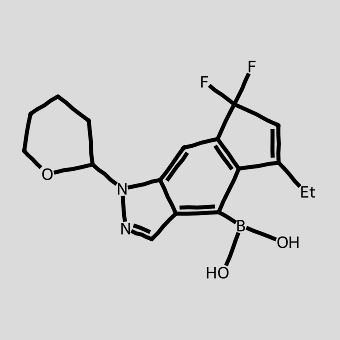 CCC1=CC(F)(F)c2cc3c(cnn3C3CCCCO3)c(B(O)O)c21